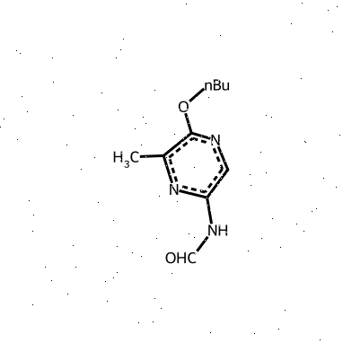 CCCCOc1ncc(NC=O)nc1C